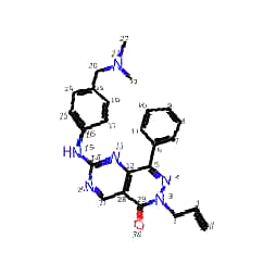 C=CCn1nc(-c2ccccc2)c2nc(Nc3ccc(CN(C)C)cc3)ncc2c1=O